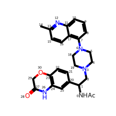 CC(=O)NC(CN1CCN(c2cccc3nc(C)ccc23)CC1)c1ccc2c(c1)NC(=O)CO2